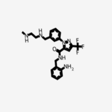 CNCCNCc1cccc(-n2nc(C(F)(F)F)cc2C(=O)NCc2ccccc2N)c1